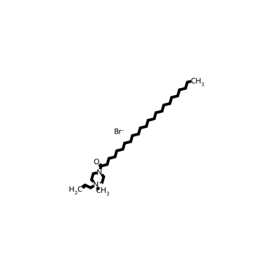 C=CC[N+]1(C)CCN(C(=O)CCCCCCCCCCCCCCCCCCCCCCC)CC1.[Br-]